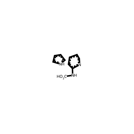 O=C(O)Nc1ccccn1.c1cc[nH]c1